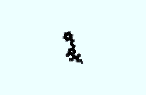 CC[C@@H](C(N)=O)N1CC(CCCc2ccccc2)CC1=O